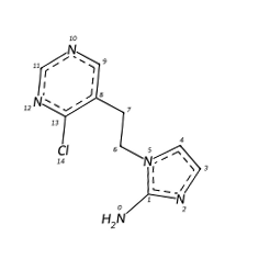 Nc1nccn1CCc1cncnc1Cl